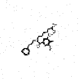 COC(=O)CCCCCN(CCCc1ccccc1)C(=O)c1cc(OC)c(C)c(OC)c1